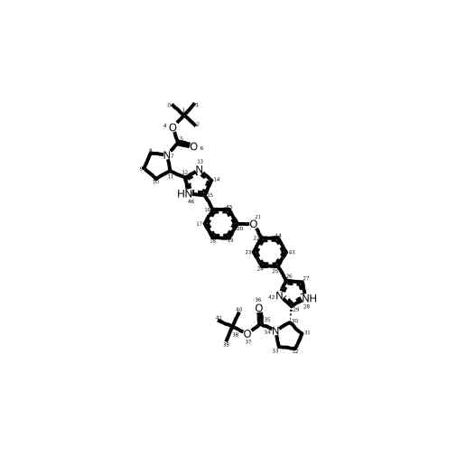 CC(C)(C)OC(=O)N1CCCC1c1ncc(-c2cccc(Oc3ccc(-c4c[nH]c([C@@H]5CCCN5C(=O)OC(C)(C)C)n4)cc3)c2)[nH]1